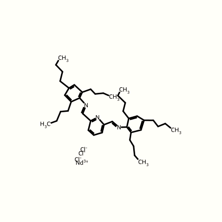 CCCCc1cc(CCCC)c(N=Cc2cccc(C=Nc3c(CCCC)cc(CCCC)cc3CCCC)n2)c(CCCC)c1.[Cl-].[Cl-].[Cl-].[Nd+3]